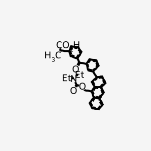 CCN(CC)C(=O)OCc1c2ccccc2cc2ccc(-c3cccc(C(=O)c4cccc(C(C)C(=O)O)c4)c3)cc12